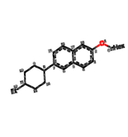 CCCCCCOc1ccc2cc(C3CCC(CC)CC3)ccc2c1